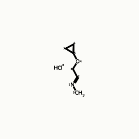 CN=CCOC1CC1.Cl